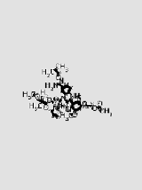 C=C(C)CON=C(N)c1ccc(N[C@H](c2cc(OC)cc(OCCOC(C)=O)c2F)C2N=C(OCOC(=O)C(C)(C)COC)N(c3ncccn3)N2C)cc1